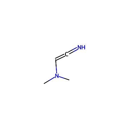 CN(C)C=C=N